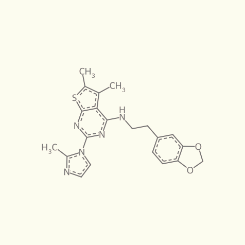 Cc1sc2nc(-n3ccnc3C)nc(NCCc3ccc4c(c3)OCO4)c2c1C